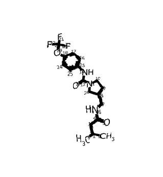 CC(C)CC(=O)NCC1CCN(C(=O)Nc2ccc(OC(F)(F)F)cc2)C1